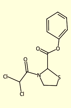 O=C(Oc1ccccc1)C1SCCN1C(=O)C(Cl)Cl